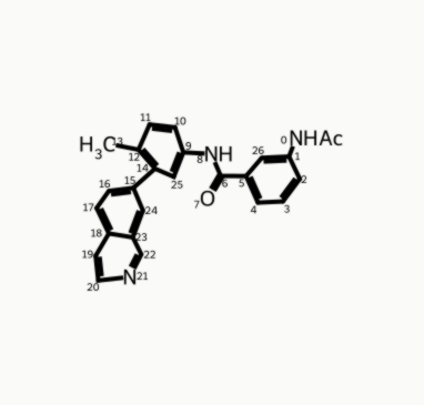 CC(=O)Nc1cccc(C(=O)Nc2ccc(C)c(-c3ccc4ccncc4c3)c2)c1